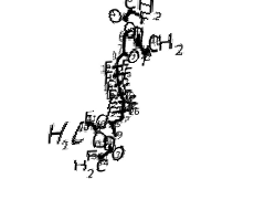 C=C(F)C(=O)OCC(CC(F)(F)C(F)(F)C(F)(F)C(F)(F)C(F)(F)C(F)(F)CC(COC(=O)C(=C)F)OC(=O)C(=C)F)OC(=O)C(=C)F